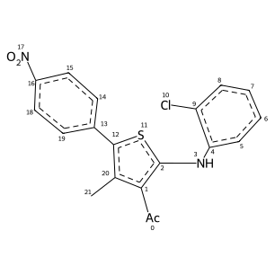 CC(=O)c1c(Nc2ccccc2Cl)sc(-c2ccc([N+](=O)[O-])cc2)c1C